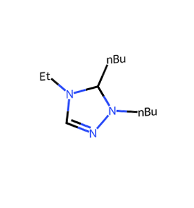 CCCCC1N(CC)C=NN1CCCC